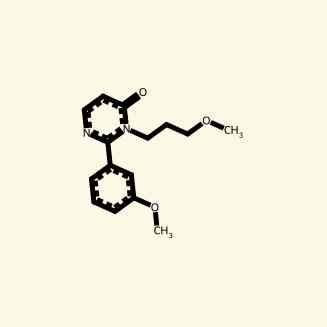 COCCCn1c(-c2cccc(OC)c2)nccc1=O